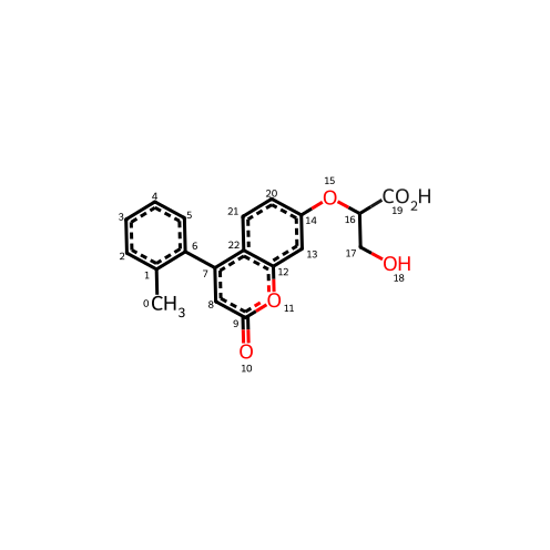 Cc1ccccc1-c1cc(=O)oc2cc(OC(CO)C(=O)O)ccc12